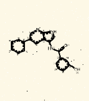 O=C(Nc1c[nH]c2ncc(-c3ccccc3)cc12)c1cccc(O)c1